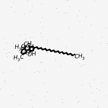 CCCCCCCCCCCCCCCCCCCCc1cc(O)c2c(c1)OC(C)(C)[C@H]1CCC(C)=C[C@@H]21